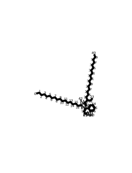 CCCCCCCCCCCCCCCCCc1ncc(C(CC)CCCCCCCCCCCCCCCCC)n1C.Cl.c1ccc2ncccc2c1